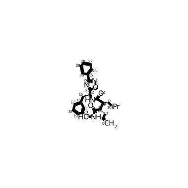 C=CC[C@H](C(=O)NO)[C@@H](CC(C)C)C(=O)N[C@@H](Cc1ccccc1)c1nc(-c2ccccc2)no1